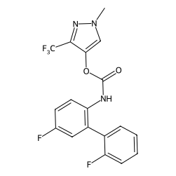 Cn1cc(OC(=O)Nc2ccc(F)cc2-c2ccccc2F)c(C(F)(F)F)n1